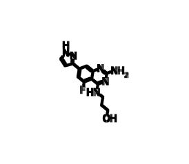 Nc1nc(NCCCO)c2c(F)cc(-c3cc[nH]n3)cc2n1